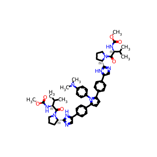 COC(=O)N[C@H](C(=O)N1CCC[C@H]1c1ncc(-c2ccc(-c3ccc(-c4ccc(-c5cnc([C@@H]6CCCN6C(=O)[C@@H](NC(=O)OC)C(C)C)[nH]5)cc4)n3-c3ccc(N(C)C)cc3)cc2)[nH]1)C(C)C